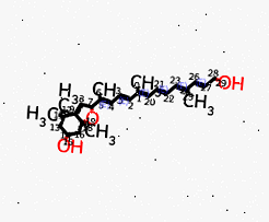 CC(/C=C/C=C(\C)C1C=C2C(C)(C)CC(O)CC2(C)O1)=C\C=C\C=C(C)\C=C\CO